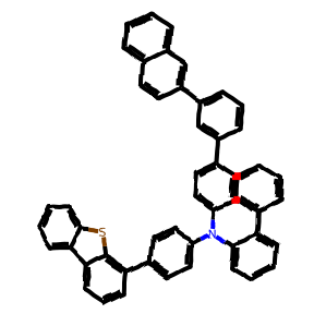 c1ccc(-c2ccccc2N(c2ccc(-c3cccc(-c4ccc5ccccc5c4)c3)cc2)c2ccc(-c3cccc4c3sc3ccccc34)cc2)cc1